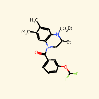 CCOC(=O)N1c2cc(C)c(C)cc2N(C(=O)c2cccc(OC(F)F)c2)CC1CC